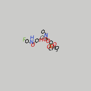 CS(=O)(=O)c1cc(OC[C@@H](O)CN(Cc2ccccc2)C2CCC(c3ccc(C(=O)NCc4ccc(F)cc4)cc3)CC2)ccc1OCc1ccccc1